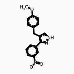 COc1ccc(Cc2c[nH]nc2-c2cccc([N+](=O)[O-])c2)cc1